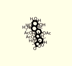 CC(=O)O[C@H]1[C@@H]2[C@H]([C@H](C)[C@H]3O[C@]34OC(=O)[C@@](C)(O)[C@]24C)[C@@]2(C)[C@@H](OC(C)=O)CC3C([C@@H](OC(C)=O)[C@H](N)[C@@]4(O)C[C@@H]5O[C@@H]5[C@H](O)[C@]34C(C)=O)[C@H]12